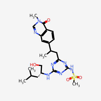 CC(C)C[C@H](CO)Nc1nc(CC(C)c2ccc3c(=O)n(C)cnc3c2)nc(NS(C)(=O)=O)n1